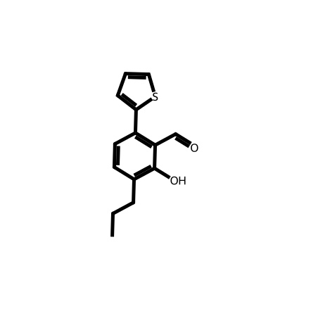 CCCc1ccc(-c2cccs2)c(C=O)c1O